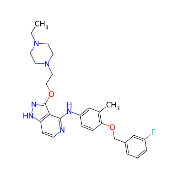 CCN1CCN(CCOc2n[nH]c3ccnc(Nc4ccc(OCc5cccc(F)c5)c(C)c4)c23)CC1